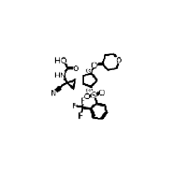 N#CC1(NC(=O)O)CC1.O=S(=O)(c1ccccc1C(F)(F)F)[C@@H]1CC[C@@H](OC2CCOCC2)C1